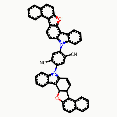 N#Cc1cc(-n2c3ccccc3c3c4oc5ccc6ccccc6c5c4ccc32)c(C#N)cc1-n1c2c(c3ccccc31)C1Oc3ccc4ccccc4c3C1C=C2